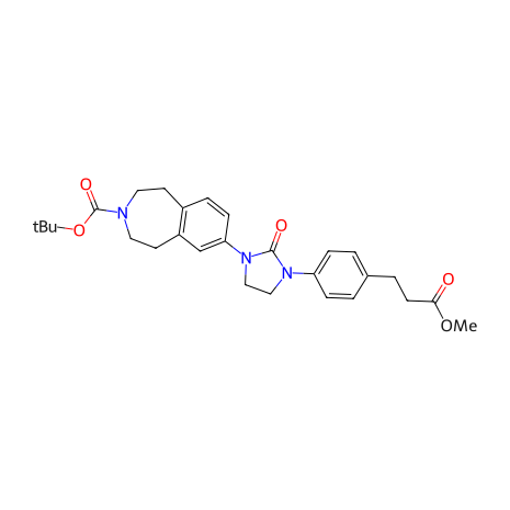 COC(=O)CCc1ccc(N2CCN(c3ccc4c(c3)CCN(C(=O)OC(C)(C)C)CC4)C2=O)cc1